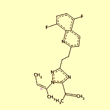 C=C(C)c1nc(CCc2ccc3c(F)ccc(F)c3n2)nn1/C(C)=C\C